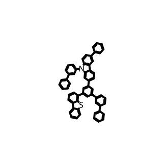 c1ccc(-c2cccc(-c3cc(-c4ccc5c6cc(-c7ccccc7)ccc6n(-c6cccc(-c7ccccc7)c6)c5c4)cc(-c4cccc5c4sc4ccccc45)c3)c2)cc1